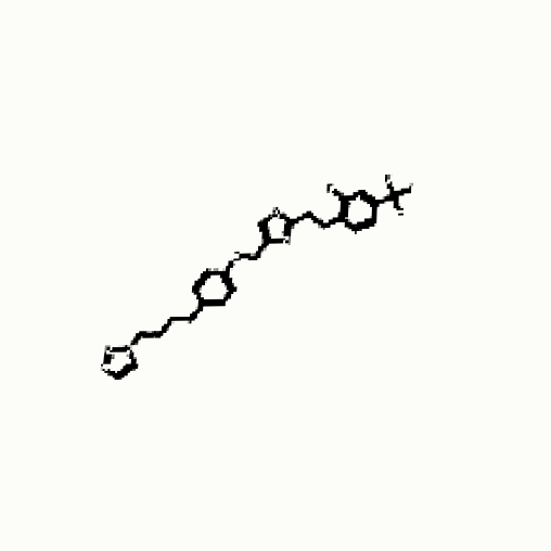 Fc1cc(C(F)(F)F)ccc1CCc1nc(COc2ccc(CCCCn3ccnn3)cc2)co1